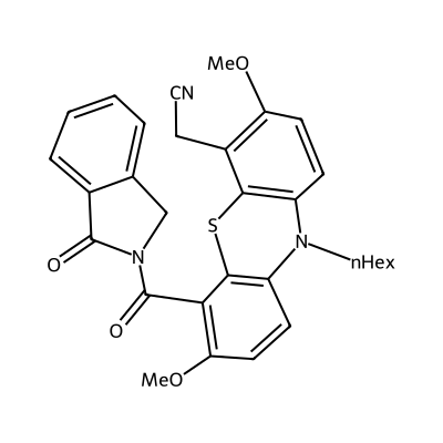 CCCCCCN1c2ccc(OC)c(CC#N)c2Sc2c1ccc(OC)c2C(=O)N1Cc2ccccc2C1=O